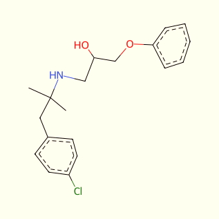 CC(C)(Cc1ccc(Cl)cc1)NCC(O)COc1ccccc1